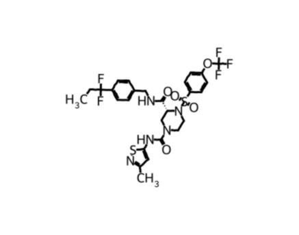 CCC(F)(F)c1ccc(CNC(=O)[C@H]2CN(C(=O)Nc3cc(C)ns3)CCN2S(=O)(=O)c2ccc(OC(F)(F)F)cc2)cc1